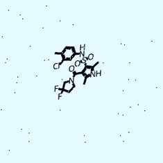 Cc1ccc(NS(=O)(=O)c2c(C)[nH]c(C)c2C(=O)N2CCC(F)(F)C2)cc1Cl